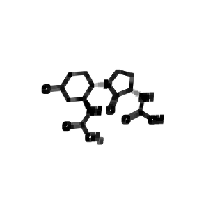 CC(=O)N[C@H]1CC(=O)CC[C@@H]1N1CC[C@H](NC(=O)O)C1=O